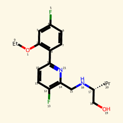 CCOc1cc(F)ccc1-c1ccc(F)c(CN[C@@H](CO)C(C)C)n1